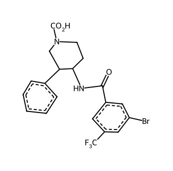 O=C(NC1CCN(C(=O)O)CC1c1ccccc1)c1cc(Br)cc(C(F)(F)F)c1